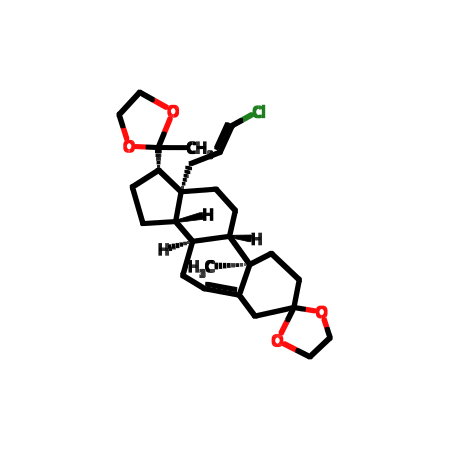 CC1([C@H]2CC[C@H]3[C@@H]4CC=C5CC6(CC[C@]5(C)[C@H]4CC[C@]23CC=CCl)OCCO6)OCCO1